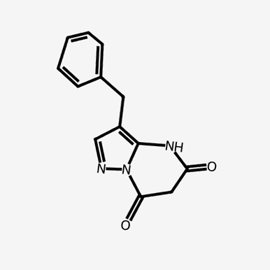 O=C1CC(=O)n2ncc(Cc3ccccc3)c2N1